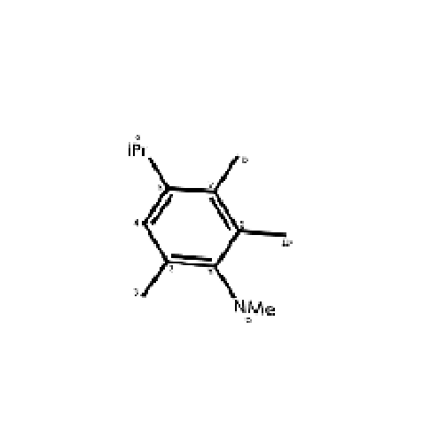 CNc1c(C)cc(C(C)C)c(C)c1C